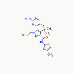 Cc1csc(NC(=O)c2nn(CCO)c3c2C(C)(C)Cc2cnc(N)nc2-3)n1